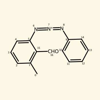 Cc1cccc(N=[N+]=Nc2ccccc2)c1C=O